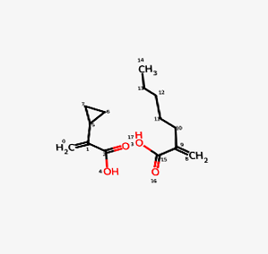 C=C(C(=O)O)C1CC1.C=C(CCCCC)C(=O)O